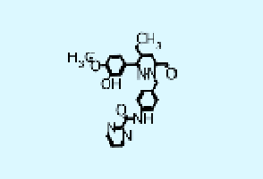 CCC1CC(C=O)N(Cc2ccc(NC(=O)c3ncccn3)cc2)N=C1c1ccc(OC)c(O)c1